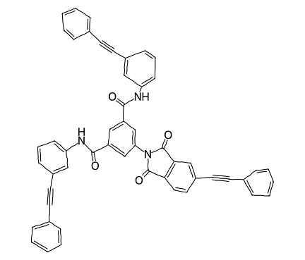 O=C(Nc1cccc(C#Cc2ccccc2)c1)c1cc(C(=O)Nc2cccc(C#Cc3ccccc3)c2)cc(N2C(=O)c3ccc(C#Cc4ccccc4)cc3C2=O)c1